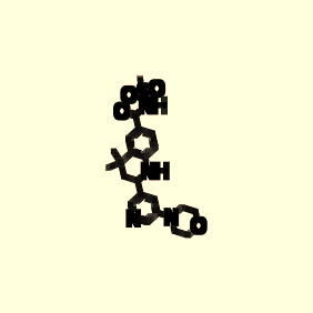 CC1(C)CC(c2cncc(N3CCOCC3)c2)Nc2ccc(C(=O)NS(C)(=O)=O)cc21